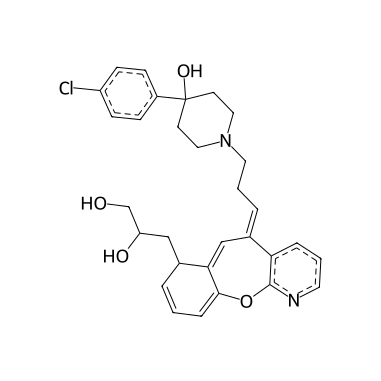 OCC(O)CC1C=CC=C2Oc3ncccc3C(=CCCN3CCC(O)(c4ccc(Cl)cc4)CC3)C=C21